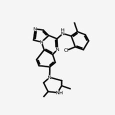 Cc1cccc(Cl)c1Nc1nc2cc(N3CC(C)NC(C)C3)ccc2n2cncc12